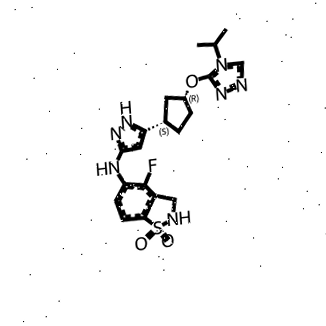 CC(C)n1cnnc1O[C@@H]1CC[C@H](c2cc(Nc3ccc4c(c3F)CNS4(=O)=O)n[nH]2)C1